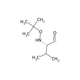 CC(C)[C@@H]([C]=O)NOC(C)(C)C